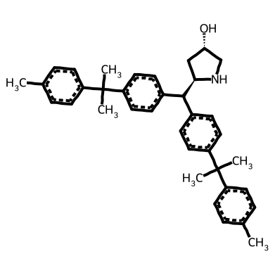 Cc1ccc(C(C)(C)c2ccc(C(c3ccc(C(C)(C)c4ccc(C)cc4)cc3)[C@H]3C[C@H](O)CN3)cc2)cc1